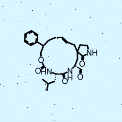 CC(C)C[C@@H]1NC(=O)OCC(c2ccccc2)CC/C=C/CC2(CCNC2=O)C[C@@H](C=O)NC1=O